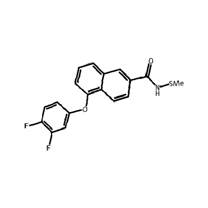 CSNC(=O)c1ccc2c(Oc3ccc(F)c(F)c3)cccc2c1